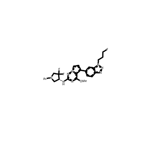 COc1nc(N[C@@H]2CN(C(C)=O)CC2(F)F)nn2ccc(-c3ccc4nnn(CCCF)c4c3)c12